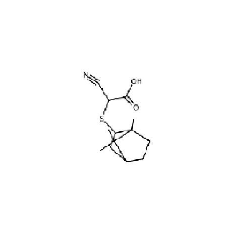 CC1(C)C2CCC1(C)C(SC(C#N)C(=O)O)C2